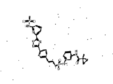 CC1(C(=O)Nc2cccc(NS(=O)(=O)CC=Cc3ccc(-c4noc(-c5cccc(NS(C)(=O)=O)n5)n4)cc3)c2)CC1